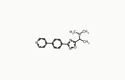 CC(c1nc(-c2ccc(-c3ccncc3)cc2)no1)N(C)C